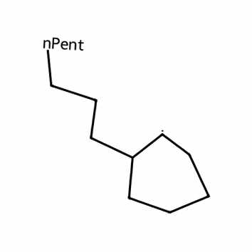 [CH2]CCCCCCCC1[CH]CCCC1